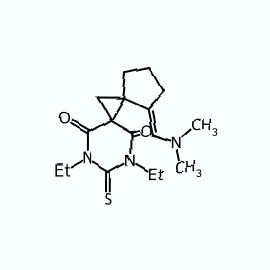 CCN1C(=O)C2(CC23CCC/C3=C\N(C)C)C(=O)N(CC)C1=S